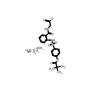 CC(C)(C)C(=O)Oc1ccc(S(=O)(=O)Nc2ccccc2C(=O)NCC(=O)[O-])cc1.O.O.O.O.[Na+]